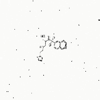 CC(CNCCc1cccs1)NS(=O)(=O)c1ccc2cnccc2c1.Cl